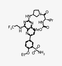 CCOc1ccc(-c2ccc3nc(N[C@H]4CCN(C(=O)[C@H](NC(=O)OC)C(C)C)C4)nc(NCC(F)(F)F)c3n2)cc1S(N)(=O)=O